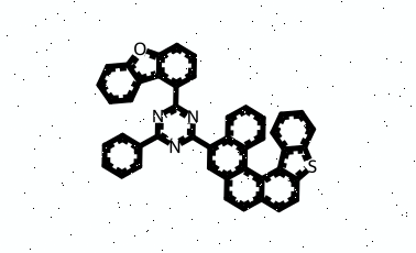 c1ccc(-c2nc(-c3cc4ccc5ccc6sc7ccccc7c6c5c4c4ccccc34)nc(-c3cccc4oc5ccccc5c34)n2)cc1